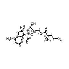 CSCC[C@@H](N)C(=O)OC[C@H]1O[C@@](C#N)(c2ccc3c(N)ncnn23)[C@H](O)[C@@H]1O